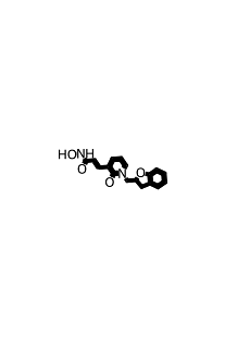 O=C(/C=C/c1cccn(CC2Cc3ccccc3O2)c1=O)NO